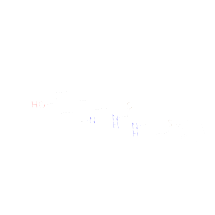 CC1C(O)=CC=C2CC(CNC(=S)NCCc3cc4ccccc4s3)N(C)CC21